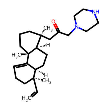 C=C[C@@]1(C)CCC=C2[C@H]1CC[C@@H]1[C@](C)(CC(=O)CN3CCNCC3)CCC[C@@]21C